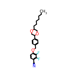 CCCCCCCC1COC(c2ccc(COc3ccc(C#N)c(F)c3F)cc2)CO1